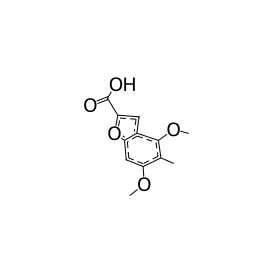 COc1cc2oc(C(=O)O)cc2c(OC)c1C